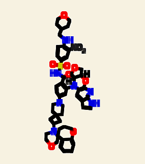 O=C(NS(=O)(=O)c1ccc(NCC2CCOCC2)c([N+](=O)[O-])c1)c1ccc(N2CCC3(CC2)CC(N2CCOCC24CCCOc2ccccc24)C3)cc1N1c2cc3cc[nH]c3nc2O[C@@H]2COC[C@H]21